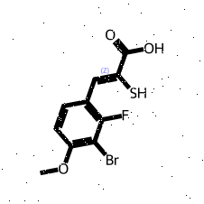 COc1ccc(/C=C(\S)C(=O)O)c(F)c1Br